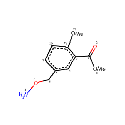 COC(=O)c1cc(CON)ccc1OC